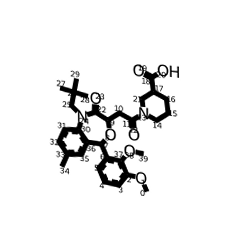 COc1cccc(C2OC(CC(=O)N3CCCC(C(=O)O)C3)C(=O)N(CC(C)(C)C)c3ccc(C)cc32)c1OC